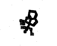 CCOP(=O)(O)C1(P(=O)(O)O)C=Cc2ccccc21